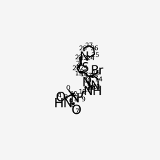 CC1(C)C(=O)NC(=O)N1CCNc1ncc(Br)c(-c2ccc(CN3CCCCC3)s2)n1